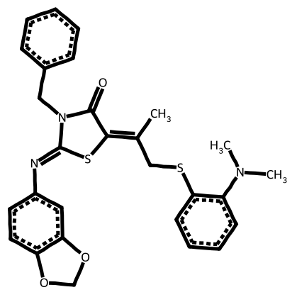 C/C(CSc1ccccc1N(C)C)=C1/SC(=Nc2ccc3c(c2)OCO3)N(Cc2ccccc2)C1=O